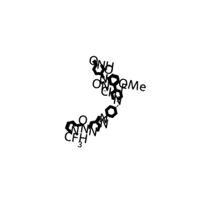 COc1ccc2c(c1C1CCN(C[C@H]3CC[C@H](n4cc5cc(NC(=O)c6cccc(C(F)(F)F)n6)ncc5n4)CC3)CC1F)n(C)c(=O)n2C1CCC(=O)NC1=O